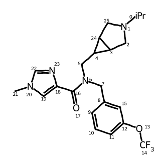 CC(C)N1CC2C(CN(Cc3cccc(OC(F)(F)F)c3)C(=O)c3cn(C)cn3)C2C1